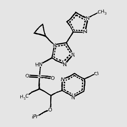 CC(C)OC(c1ncc(Cl)cn1)C(C)S(=O)(=O)Nc1nnc(-c2ccn(C)n2)n1C1CC1